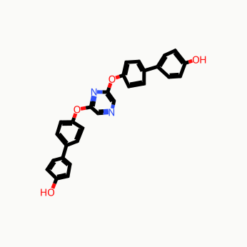 Oc1ccc(-c2ccc(Oc3cncc(Oc4ccc(-c5ccc(O)cc5)cc4)n3)cc2)cc1